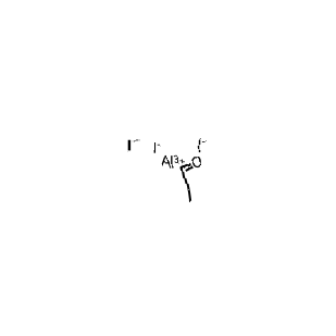 CC=O.[Al+3].[I-].[I-].[I-]